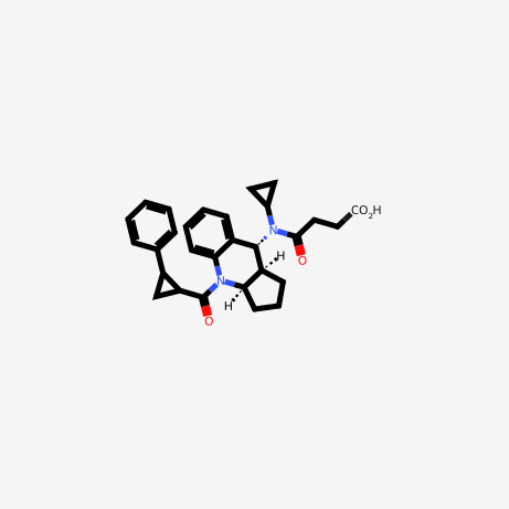 O=C(O)CCC(=O)N(C1CC1)[C@H]1c2ccccc2N(C(=O)C2CC2c2ccccc2)[C@@H]2CCC[C@@H]21